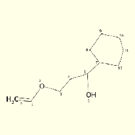 C=COCCC(O)C1CCCCC1